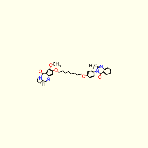 COc1cc2c(cc1OCCCCCCCCOc1ccc(-n3c(C)nc4ccccc4c3=O)cc1)N=C[C@@H]1CCCN1C2=O